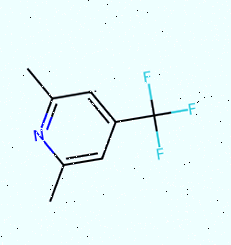 Cc1[c]c(C(F)(F)F)cc(C)n1